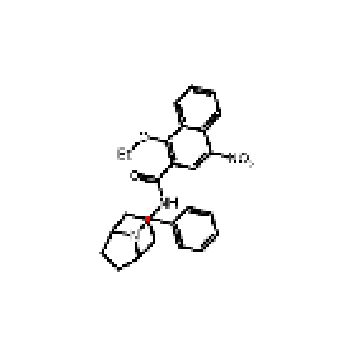 CCOc1c(C(=O)NC2CC3CCC(C2)N3Cc2ccccc2)cc([N+](=O)[O-])c2ccccc12